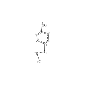 CC(C)(C)c1ccc(SSCl)cc1